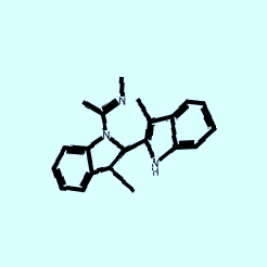 CN=C(C)N1c2ccccc2C(C)C1c1[nH]c2ccccc2c1C